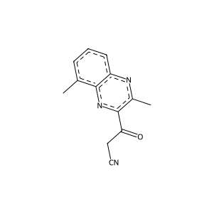 Cc1nc2cccc(C)c2nc1C(=O)CC#N